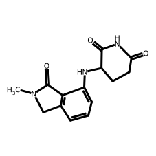 CN1Cc2cccc(NC3CCC(=O)NC3=O)c2C1=O